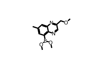 COCc1cnc2c(B(OC)OC)cc(C)cc2n1